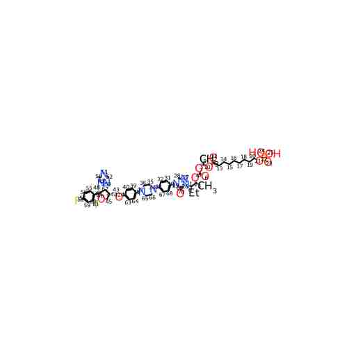 CC[C@@H]([C@H](C)OC(=O)OC(C)OC(=O)CCCCCCCCOP(=O)(O)O)n1ncn(-c2ccc(N3CCN(c4ccc(OC[C@@H]5CO[C@@](Cn6cncn6)(c6ccc(F)cc6F)C5)cc4)CC3)cc2)c1=O